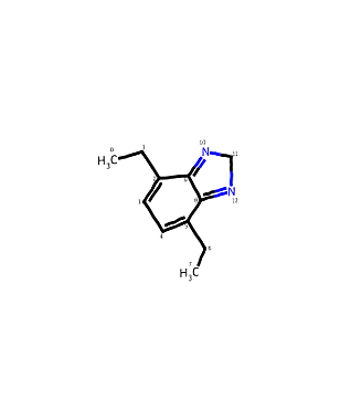 CCc1ccc(CC)c2c1=NCN=2